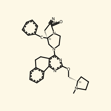 CN1CCC[C@H]1COc1nc2c(c(N3CCN(C(=O)O)[C@](CC#N)(Cc4ccccc4)C3)n1)CCc1ccccc1-2